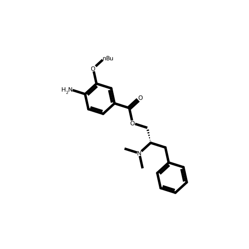 CCCCOc1cc(C(=O)OC[C@H](Cc2ccccc2)N(C)C)ccc1N